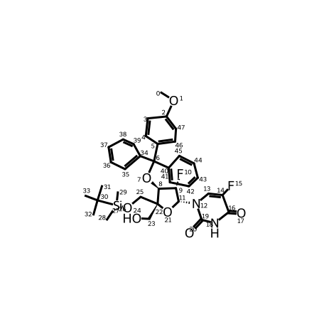 COc1ccc(C(O[C@H]2[C@H](F)[C@H](n3cc(F)c(=O)[nH]c3=O)O[C@]2(CO)CO[Si](C)(C)C(C)(C)C)(c2ccccc2)c2ccccc2)cc1